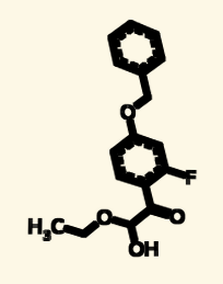 CCOC(O)C(=O)c1ccc(OCc2ccccc2)cc1F